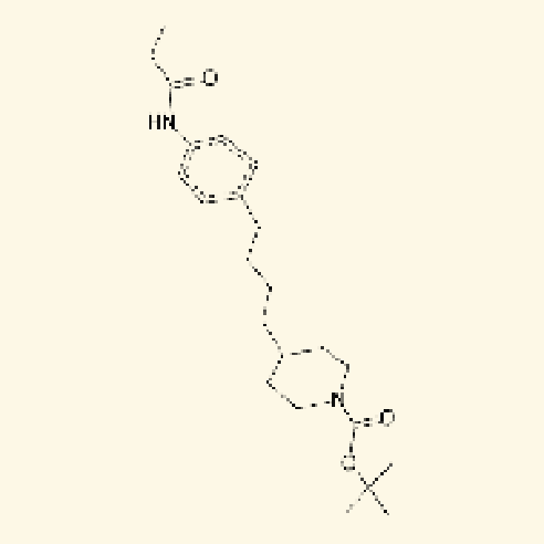 CCC(=O)Nc1ccc(CCCCC2CCN(C(=O)OC(C)(C)C)CC2)cc1